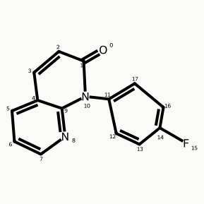 O=c1ccc2cccnc2n1-c1ccc(F)cc1